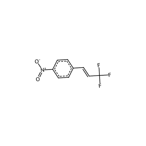 O=[N+]([O-])c1ccc(C=CC(F)(F)F)cc1